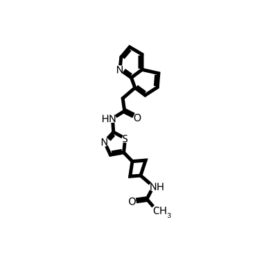 CC(=O)NC1CC(c2cnc(NC(=O)Cc3cccc4cccnc34)s2)C1